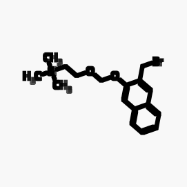 C[Si](C)(C)CCOCOc1cc2ccccc2cc1CBr